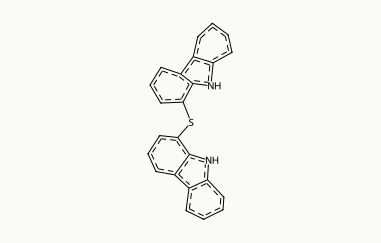 c1ccc2c(c1)[nH]c1c(Sc3cccc4c3[nH]c3ccccc34)cccc12